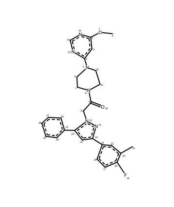 COc1cc(N2CCN(C(=O)Cn3nc(-c4ccc(F)c(C)c4)cc3-c3ccccc3)CC2)ncn1